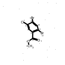 COC(=O)c1cc(Cl)c(Br)cc1Br